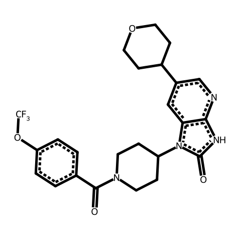 O=C(c1ccc(OC(F)(F)F)cc1)N1CCC(n2c(=O)[nH]c3ncc(C4CCOCC4)cc32)CC1